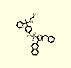 CC(NCCO)(c1ccc(NS(=O)(=O)c2sc(Cc3ccccc3)nc2-c2ccc3ccccc3c2)cc1)c1ccccn1